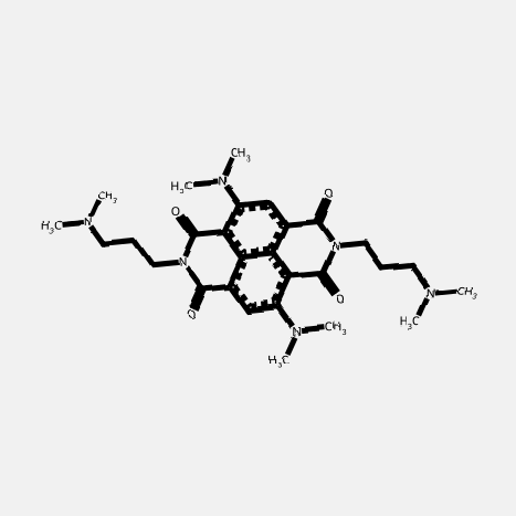 CN(C)CCCN1C(=O)c2cc(N(C)C)c3c4c(cc(N(C)C)c(c24)C1=O)C(=O)N(CCCN(C)C)C3=O